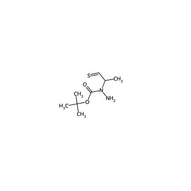 CC(C=S)N(N)C(=O)OC(C)(C)C